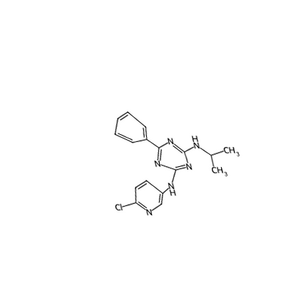 CC(C)Nc1nc(Nc2ccc(Cl)nc2)nc(-c2ccccc2)n1